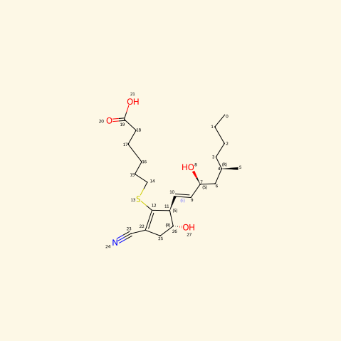 CCCC[C@@H](C)C[C@H](O)/C=C/[C@@H]1C(SCCCCCC(=O)O)=C(C#N)C[C@H]1O